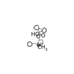 C[N@+]1(CCc2ccccc2)CCCC(OC(=O)C2(O)c3ccccc3-c3ccccc32)C1